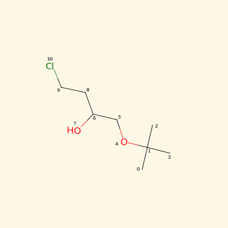 CC(C)(C)OCC(O)CCCl